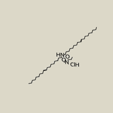 CCCCCCCCC=CCCCCCCCC(=O)NC(=O)CCCCCCCC=CCCCCCCCC.CCCN(C)C.Cl